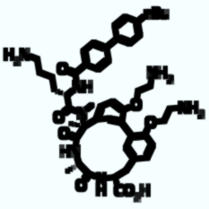 CCCCc1ccc(-c2ccc(C(=O)N[C@@H](CCCCN)C(=O)N(C)[C@]3(C)C(=O)N[C@@H](C)C(=O)N[C@H](C(=O)O)Cc4ccc(OCCN)c(c4)-c4cc3ccc4OCCN)cc2)cc1